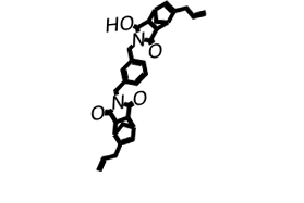 C=CCC1=CC2CC1C1C(=O)N(Cc3cccc(CN4C(=O)C5C6CC(C=C6CC=C)C5C4O)c3)C(=O)C21